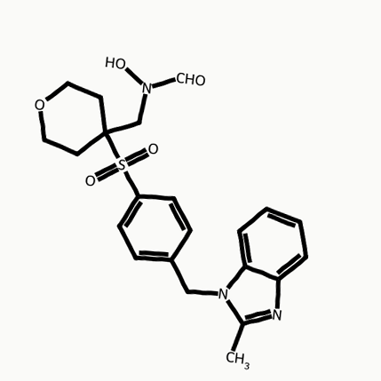 Cc1nc2ccccc2n1Cc1ccc(S(=O)(=O)C2(CN(O)C=O)CCOCC2)cc1